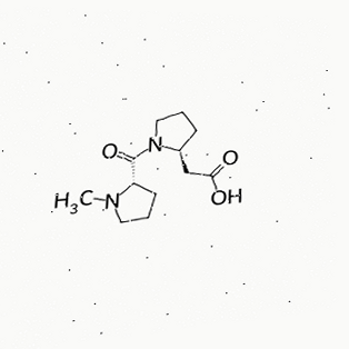 CN1CCC[C@H]1C(=O)N1CCC[C@H]1CC(=O)O